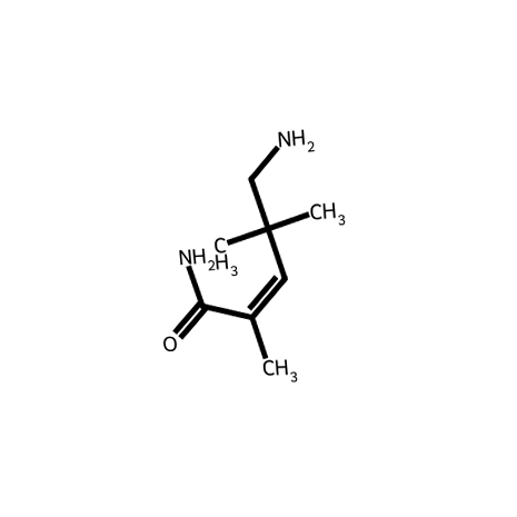 CC(=CC(C)(C)CN)C(N)=O